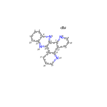 [Ru].c1ccc2nc3c4ncccc4c4ncccc4c3nc2c1